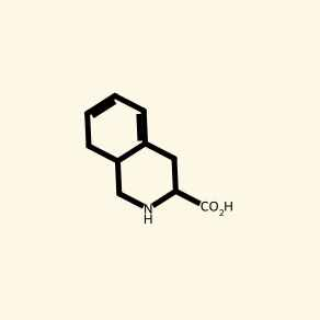 O=C(O)C1CC2=CC=CCC2CN1